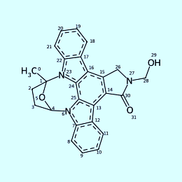 CC12CCC(O1)n1c3ccccc3c3c4c(c5c6ccccc6n2c5c31)CN(CO)C4=O